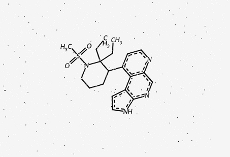 CCC1(CC)C(c2ccnc3cnc4[nH]ccc4c23)CCCN1S(C)(=O)=O